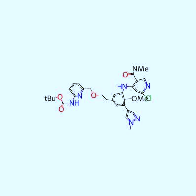 CNC(=O)c1cnc(Cl)cc1Nc1cc(CCOCc2cccc(NC(=O)OC(C)(C)C)n2)cc(-c2cnn(C)c2)c1OC